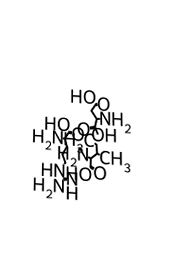 CCC(C)C(N)C(=O)O.N=C(N)NCCCC(N)C(=O)O.NC(CC(=O)O)C(=O)O